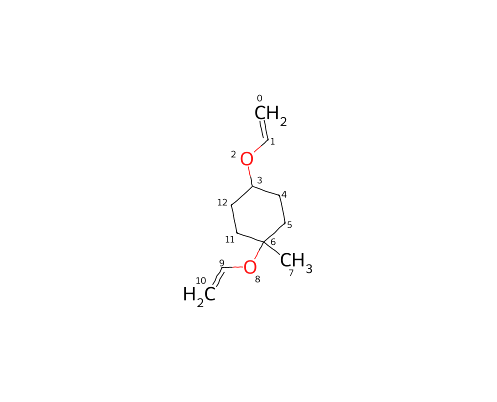 C=COC1CCC(C)(OC=C)CC1